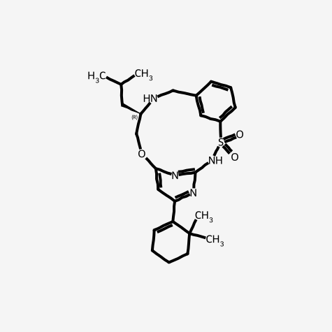 CC(C)C[C@@H]1COc2cc(C3=CCCCC3(C)C)nc(n2)NS(=O)(=O)c2cccc(c2)CN1